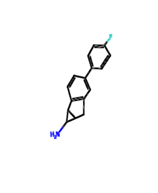 NC1C2Cc3cc(-c4ccc(F)cc4)ccc3C12